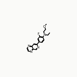 CCN(CCOC)c1ccc(-c2cc3nccnc3cn2)cc1F